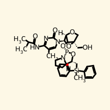 Cc1cn([C@@H]2O[C@]3(CO)CO[C@H]2C3O[P@@]2O[C@H](C[Si](C)(c3ccccc3)c3ccccc3)[C@@H]3CCCN32)c(=O)nc1NC(=O)C(C)C